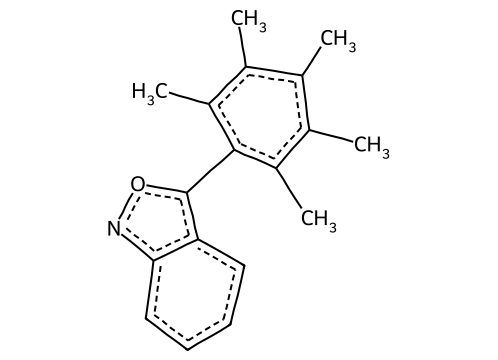 Cc1c(C)c(C)c(-c2onc3ccccc23)c(C)c1C